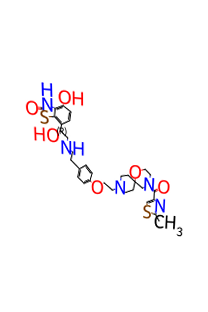 Cc1nc(C(=O)N2CCOC3(CCN(CCOc4ccc(CCNC[C@H](O)c5ccc(O)c6[nH]c(=O)sc56)cc4)CC3)C2)cs1